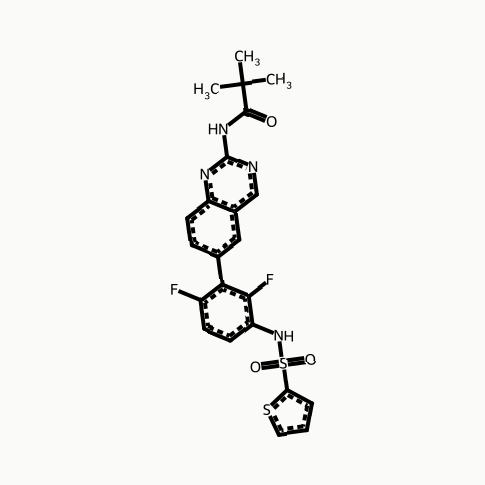 CC(C)(C)C(=O)Nc1ncc2cc(-c3c(F)ccc(NS(=O)(=O)c4cccs4)c3F)ccc2n1